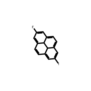 FC1=CC2=CC=C3C=C(I)C=C4C=CC(=C1)C2C34